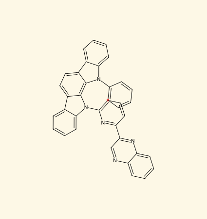 c1ccc(-n2c3ccccc3c3ccc4c5ccccc5n(-c5cccc(-c6cnc7ccccc7n6)n5)c4c32)cc1